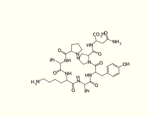 CC(C)C(NC(=O)C1CCCN1)C(=O)NC(CCCCN)C(=O)NC(C(=O)NC(Cc1ccc(O)cc1)C(=O)N1CCCC1C(=O)NC(CC(N)=O)C(=O)O)C(C)C